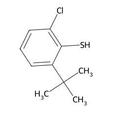 CC(C)(C)c1cccc(Cl)c1S